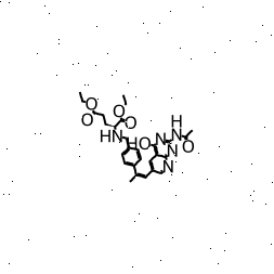 CCOC(=O)CC[C@H](NCc1ccc(C(C)=Cc2cnc3nc(NC(C)=O)nc(O)c3c2)cc1)C(=O)OCC